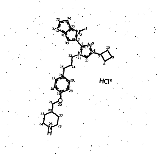 Cl.Cn1c(-c2nc(C3CCC3)cn2CCCc2ccc(OCC3CCNCC3)cc2)cc2sccc21